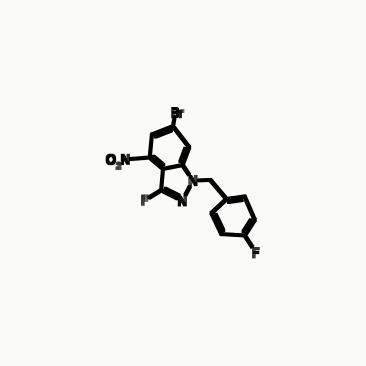 O=[N+]([O-])c1cc(Br)cc2c1c(F)nn2Cc1ccc(F)cc1